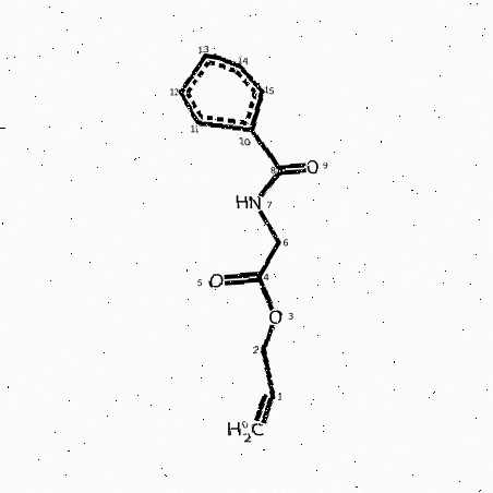 C=CCOC(=O)CNC(=O)c1ccccc1